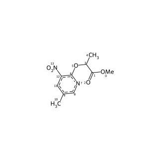 COC(=O)C(C)Oc1ncc(C)cc1[N+](=O)[O-]